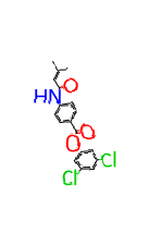 CC(C)=CC(=O)Nc1ccc(C(=O)Oc2cc(Cl)cc(Cl)c2)cc1